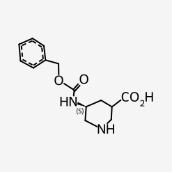 O=C(N[C@@H]1CNCC(C(=O)O)C1)OCc1ccccc1